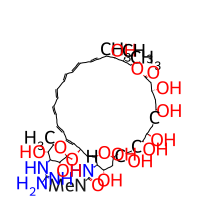 CNC(=O)N[C@H]1[C@@H]2C[C@@H](O[C@@H]3O[C@H](C)[C@@H](O)[C@H](NC(=N)N)[C@@H]3O)/C=C/C=C/C=C/C=C/C=C/C=C/C=C/C(C)[C@@H](O)[C@@H](C)[C@H](C)OC(=O)C[C@H](O)C[C@H](O)CC[C@@H](O)[C@H](O)C[C@H](O)C[C@](O)(C[C@@H]1O)O2